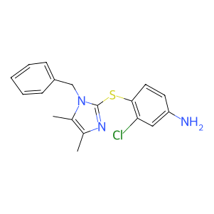 Cc1nc(Sc2ccc(N)cc2Cl)n(Cc2ccccc2)c1C